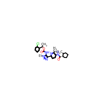 CCn1nnc(-c2ccc(NC(=O)[C@H]3CCCC[C@@H]3C(=O)O)c(C)n2)c1NC(=O)O[C@H](C)c1ccccc1Cl